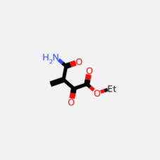 C=C(C(N)=O)C(=O)C(=O)OCC